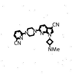 CN[C@H]1C[C@H](n2cc(C#N)c3ccc(N4CCN(c5cccc(C#N)n5)CC4)nc32)C1